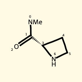 CNC(=O)[C@@H]1CCN1